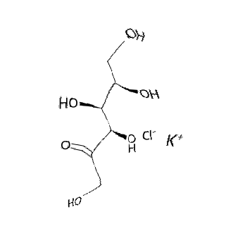 O=C(CO)[C@H](O)[C@@H](O)[C@H](O)CO.[Cl-].[K+]